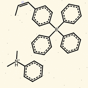 C/C=C\c1ccc([B-](c2ccccc2)(c2ccccc2)c2ccccc2)cc1.C[NH+](C)c1ccccc1